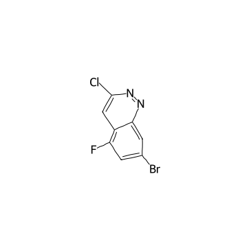 Fc1cc(Br)cc2nnc(Cl)cc12